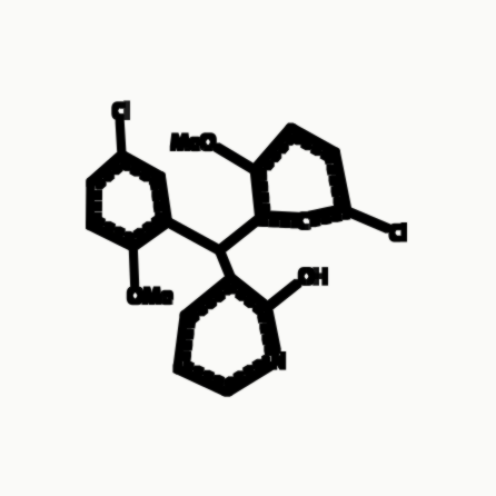 COc1ccc(Cl)cc1C(c1cc(Cl)ccc1OC)c1cccnc1O